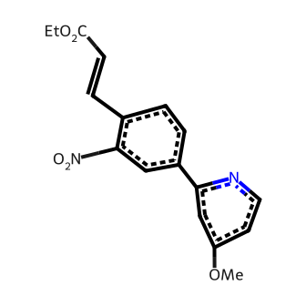 CCOC(=O)/C=C/c1ccc(-c2cc(OC)ccn2)cc1[N+](=O)[O-]